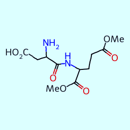 COC(=O)CCC(NC(=O)C(N)CC(=O)O)C(=O)OC